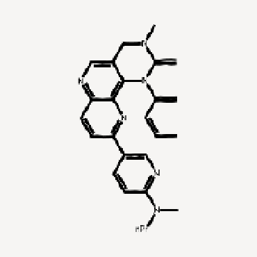 C=C(/C=C\C)N1C(=C)N(C)Cc2cnc3ccc(-c4ccc(N(C)CCC)nc4)nc3c21